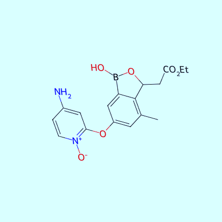 CCOC(=O)CC1OB(O)c2cc(Oc3cc(N)cc[n+]3[O-])cc(C)c21